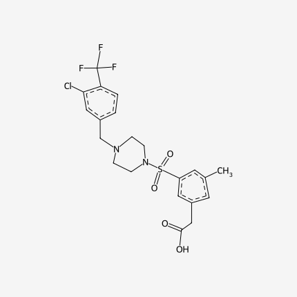 Cc1cc(CC(=O)O)cc(S(=O)(=O)N2CCN(Cc3ccc(C(F)(F)F)c(Cl)c3)CC2)c1